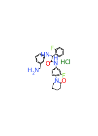 Cl.NCc1cccc(NC(C(=O)Nc2ccc(N3CCCCC3=O)c(F)c2)c2ccccc2F)c1